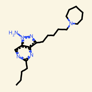 CCCCc1ncc2c(n1)c(CCCCCN1CCCCCC1)nn2N